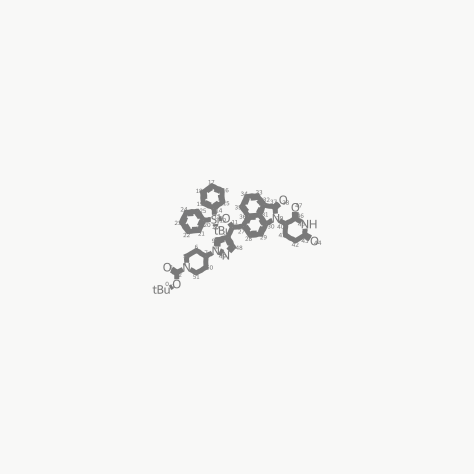 CC(C)(C)OC(=O)N1CCC(n2cc(C(O[Si](c3ccccc3)(c3ccccc3)C(C)(C)C)c3ccc4c5c(cccc35)C(=O)N4C3CCC(=O)NC3=O)cn2)CC1